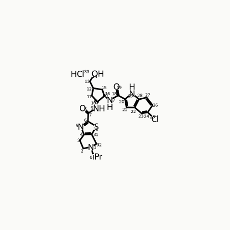 CC(C)N1CCc2nc(C(=O)N[C@@H]3CC(CO)C[C@H]3NC(=O)c3cc4cc(Cl)ccc4[nH]3)sc2C1.Cl